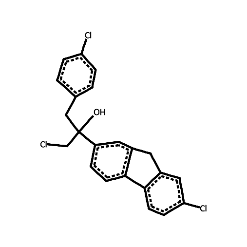 OC(CCl)(Cc1ccc(Cl)cc1)c1ccc2c(c1)Cc1cc(Cl)ccc1-2